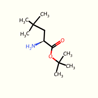 CC(C)(C)C[C@H](N)C(=O)OC(C)(C)C